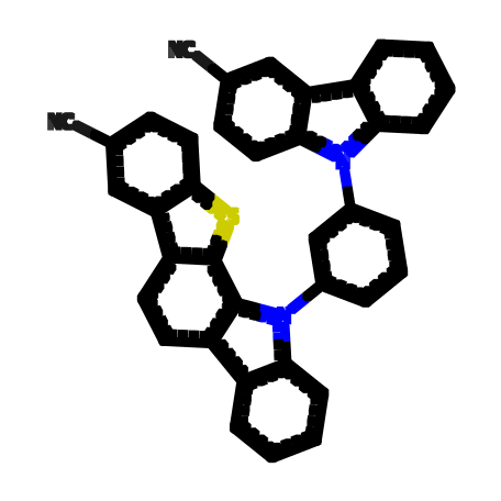 N#Cc1ccc2sc3c(ccc4c5ccccc5n(-c5cccc(-n6c7ccccc7c7cc(C#N)ccc76)c5)c43)c2c1